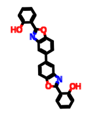 Oc1ccccc1-c1nc2cc(-c3ccc4oc(-c5ccccc5O)nc4c3)ccc2o1